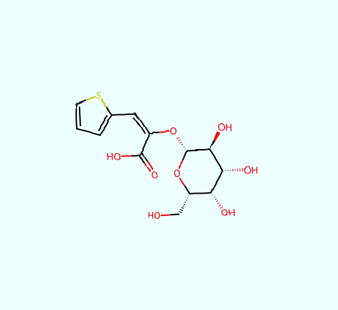 O=C(O)C(=Cc1cccs1)O[C@H]1O[C@@H](CO)[C@@H](O)[C@@H](O)[C@@H]1O